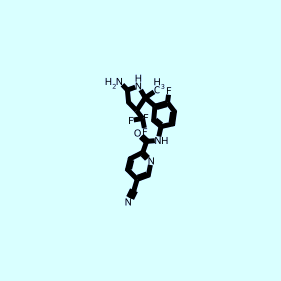 CC1(c2cc(NC(=O)c3ccc(C#N)cn3)ccc2F)NC(N)CC1C(F)(F)F